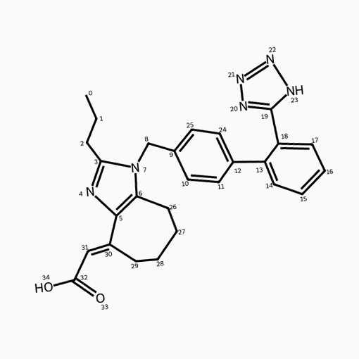 CCCc1nc2c(n1Cc1ccc(-c3ccccc3-c3nnn[nH]3)cc1)CCCCC2=CC(=O)O